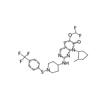 CC1CCCC1n1c(=O)c(OC(F)F)cc2cnc(NC3CCN(Sc4ccc(C(F)(F)F)cc4)CC3)nc21